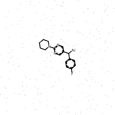 CC(=O)C(c1ccc(F)cc1)c1cnc(N2CCCCC2)nc1